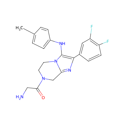 Cc1ccc(Nc2c(-c3ccc(F)c(F)c3)nc3n2CCN(C(=O)CN)C3)cc1